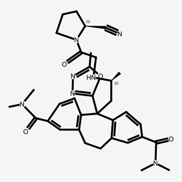 Cc1nnc(C2(C[C@H](C)NCC(=O)N3CCC[C@H]3C#N)c3ccc(C(=O)N(C)C)cc3CCc3cc(C(=O)N(C)C)ccc32)o1